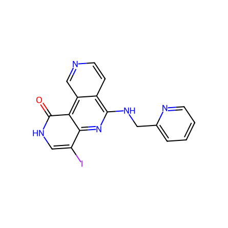 O=c1[nH]cc(I)c2nc(NCc3ccccn3)c3ccncc3c12